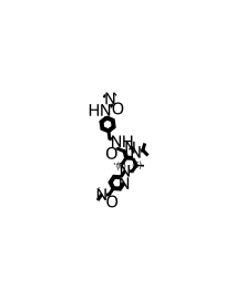 CC(C)n1nc(C(=O)NCc2ccc(NC(=O)N(C)C)cc2)c2c1[C@@H](C)CN(c1ccc(C(=O)N(C)C)cn1)[C@@H]2C